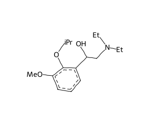 CCN(CC)CC(O)c1cccc(OC)c1OC(C)C